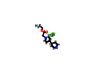 CCOC(=O)C[n+]1ccc(-c2ccncc2)cc1.Cl.[Cl-]